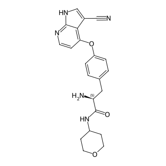 N#Cc1c[nH]c2nccc(Oc3ccc(C[C@H](N)C(=O)NC4CCOCC4)cc3)c12